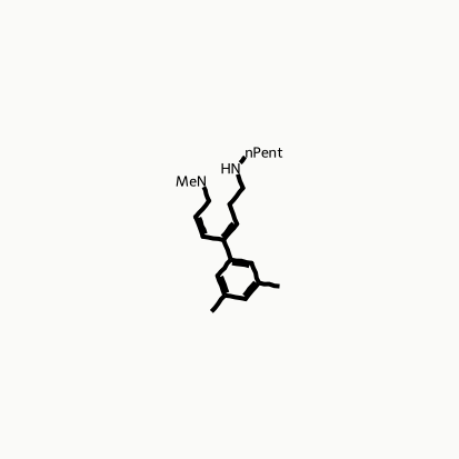 CCCCCNCC/C=C(\C=C/CNC)c1cc(C)cc(C)c1